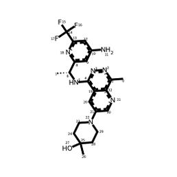 Cc1nnc(N[C@H](C)c2cc(N)cc(C(F)(F)F)n2)c2cc(N3CCC(C)(O)CC3)cnc12